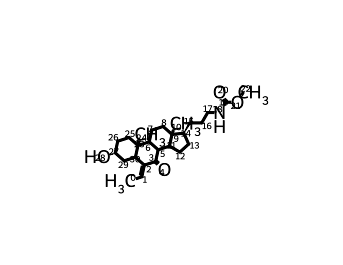 C/C=C1/C(=O)C2C(CCC3(C)C2CC[C@@H]3CCCNC(=O)OC)C2(C)CC[C@@H](O)CC12